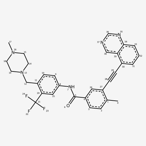 Cc1ccc(C(=O)Nc2ccc(CN3CCN(C)CC3)c(C(F)(F)F)c2)cc1C#Cc1cccc2ncncc12